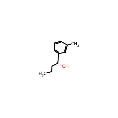 CCC[C@@H](O)c1cccc(C)c1